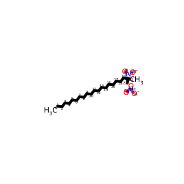 CCCCCCCCCCCCCCCCCCCCC(C)(CO[N+](=O)[O-])[N+](=O)[O-]